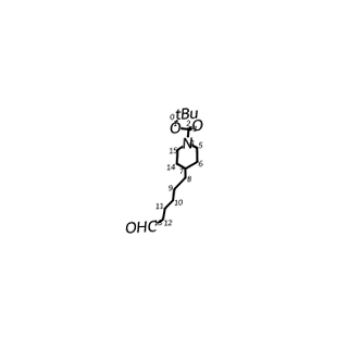 CC(C)(C)OC(=O)N1CCC(CCCCCC=O)CC1